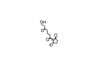 O=C(CCO)CCCC(=O)N1C(=O)CCC1=O